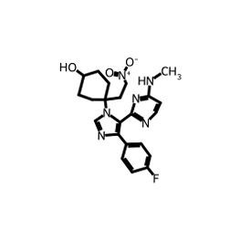 CNc1ccnc(-c2c(-c3ccc(F)cc3)ncn2C2(CC[N+](=O)[O-])CCC(O)CC2)n1